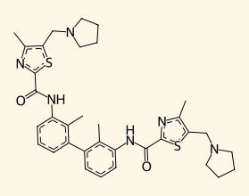 Cc1nc(C(=O)Nc2cccc(-c3cccc(NC(=O)c4nc(C)c(CN5CCCC5)s4)c3C)c2C)sc1CN1CCCC1